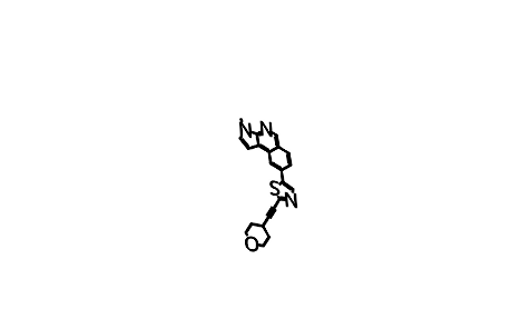 Cn1ccc2c3cc(-c4cnc(C#CC5CCOCC5)s4)ccc3cnc21